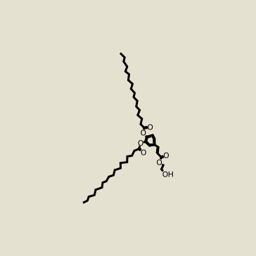 CCCCCCCCCCCCCCCCCC(=O)Oc1ccc(C=CC(=O)OCCO)cc1OC(=O)CCCCCCCCCCCCCCCCC